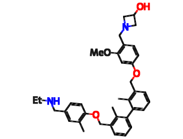 CCNCc1ccc(OCc2cccc(-c3cccc(COc4ccc(CN5CC(O)C5)c(OC)c4)c3C)c2C)c(C)c1